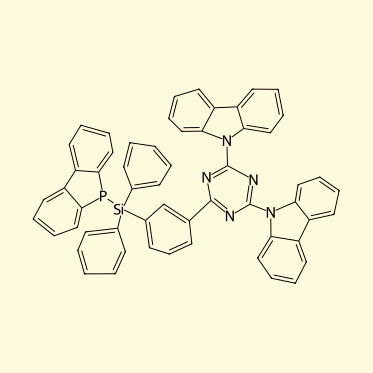 c1ccc([Si](c2ccccc2)(c2cccc(-c3nc(-n4c5ccccc5c5ccccc54)nc(-n4c5ccccc5c5ccccc54)n3)c2)p2c3ccccc3c3ccccc32)cc1